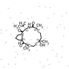 CC(C)[C@@H]1NC(=O)[C@H](C)CCC[C@](C)(O)CCCN(C)C(=O)[C@@H]2CCCN2C1=O